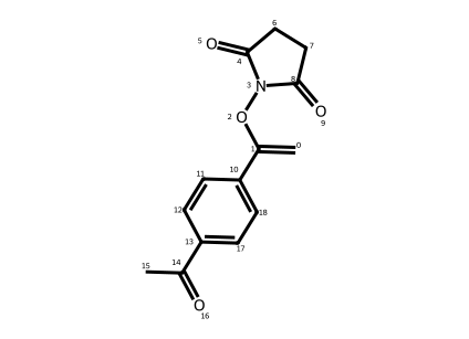 C=C(ON1C(=O)CCC1=O)c1ccc(C(C)=O)cc1